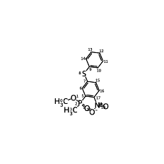 COP(C)(=O)c1cc(Sc2ccccc2)ccc1[N+](=O)[O-]